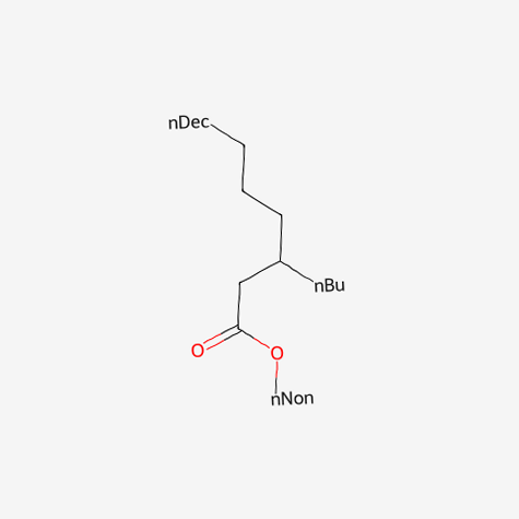 CCCCCCCCCCCCCC(CCCC)CC(=O)OCCCCCCCCC